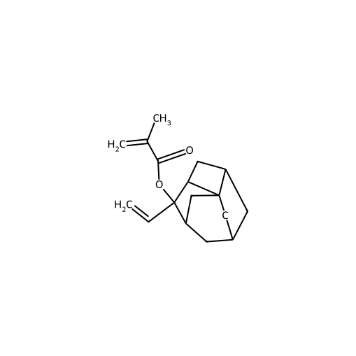 C=CC1(OC(=O)C(=C)C)C2CC3CC4CC1C4(C3)C2